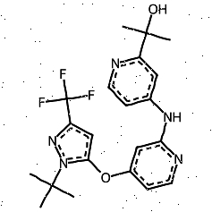 CC(C)(O)c1cc(Nc2cc(Oc3cc(C(F)(F)F)nn3C(C)(C)C)ccn2)ccn1